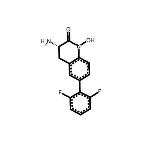 N[C@H]1Cc2cc(-c3c(F)cccc3F)ccc2N(O)C1=O